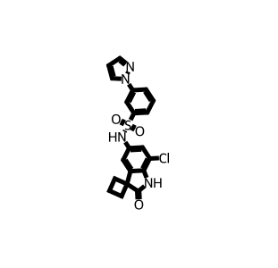 O=C1Nc2c(Cl)cc(NS(=O)(=O)c3cccc(-n4cccn4)c3)cc2C12CCC2